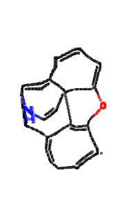 [c]1ccc2c3c1OC1=CC=CC4=C(C2)NC=CC143